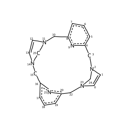 C1=CN2Cc3cccc(n3)CN3C=CN(Cc4cccc(n4)CN1C2)C3